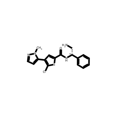 Cn1nccc1-c1cc(C(=O)N[C@H](CN)c2ccccc2)sc1Cl